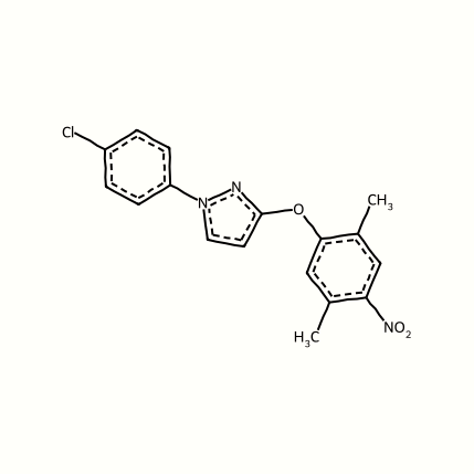 Cc1cc([N+](=O)[O-])c(C)cc1Oc1ccn(-c2ccc(Cl)cc2)n1